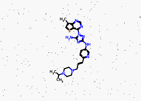 Cc1csc2c(-n3nc(Nc4ccc(C=CCN5CCN(C(C)C)CC5)nc4)nc3N)ncnc12